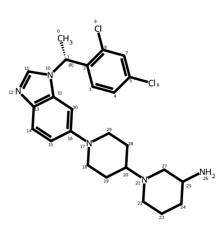 C[C@H](c1ccc(Cl)cc1Cl)n1cnc2ccc(N3CCC(N4CCCC(N)C4)CC3)cc21